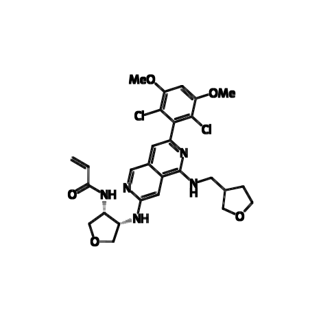 C=CC(=O)N[C@H]1COC[C@H]1Nc1cc2c(NCC3CCOC3)nc(-c3c(Cl)c(OC)cc(OC)c3Cl)cc2cn1